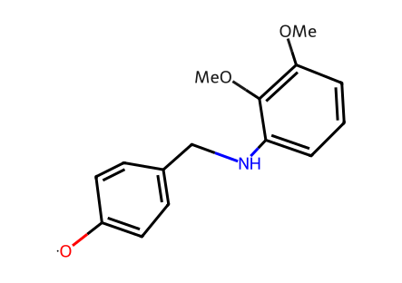 COc1cccc(NCc2ccc([O])cc2)c1OC